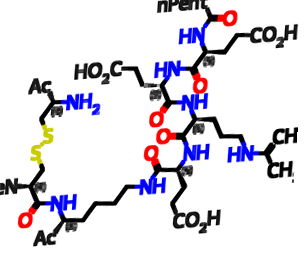 C=C(C)NCCC[C@H](NC(=O)[C@H](CCC(=O)O)NC(=O)[C@H](CCC(=O)O)NC(=O)CCCCC)C(=O)N[C@@H](CCC(=O)O)C(=O)NCCCC[C@H](NC(=O)[C@H](CSSC[C@H](N)C(C)=O)NC)C(C)=O